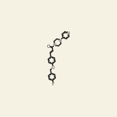 O=C(C=Cc1ccc(OCc2ccc(F)cc2)cc1)N1CCN(c2ccncc2)CC1